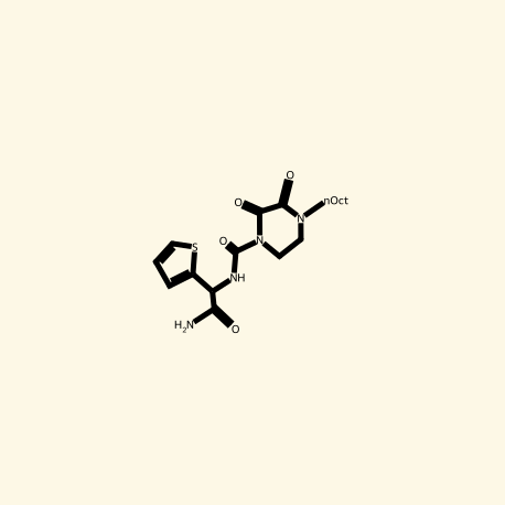 CCCCCCCCN1CCN(C(=O)NC(C(N)=O)c2cccs2)C(=O)C1=O